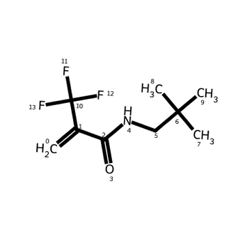 C=C(C(=O)NCC(C)(C)C)C(F)(F)F